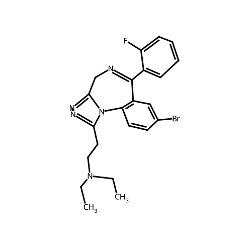 CCN(CC)CCc1nnc2n1-c1ccc(Br)cc1C(c1ccccc1F)=NC2